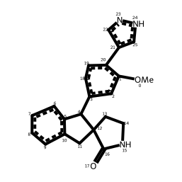 COc1cc(C2c3ccccc3CC23CCNC3=O)ccc1-c1cn[nH]c1